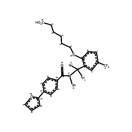 [2H]C([2H])(c1cc(C(F)(F)F)ccc1OCCCCCC(=O)O)N(C(=O)c1ccc(-c2ccco2)cc1)C(C)C